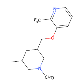 CC1CC(COc2cccnc2C(F)(F)F)CN(C=O)C1